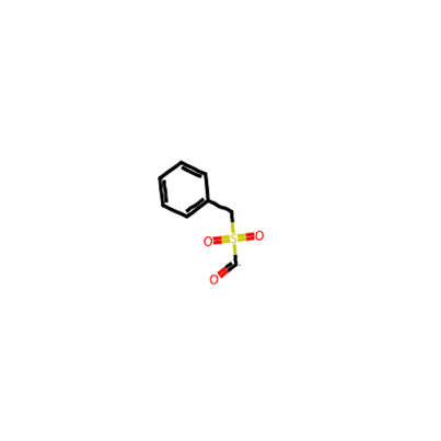 O=[C]S(=O)(=O)Cc1ccccc1